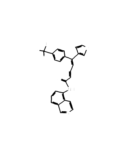 O=C(/C=C/C=C(\c1ccc(C(F)(F)F)cc1)c1ccoc1)Nc1cccc2cnccc12